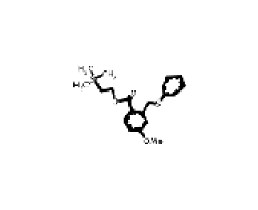 COc1ccc(C(=O)OCC[Si](C)(C)C)c(CSc2ccccc2)c1